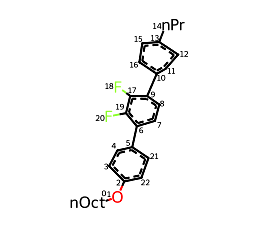 CCCCCCCCOc1ccc(-c2ccc(-c3ccc(CCC)cc3)c(F)c2F)cc1